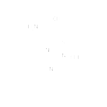 C[C@@H](N)c1nc(N2CCCCC2)ns1.Cl